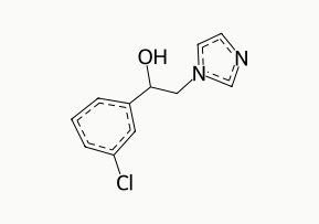 OC(Cn1ccnc1)c1cccc(Cl)c1